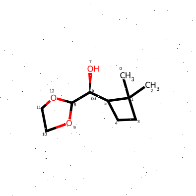 CC1(C)CCC1[C@H](O)C1OCCO1